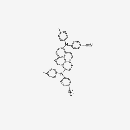 [C-]#[N+]c1ccc(N(c2ccc(C)cc2)c2ccc3ccc4c(N(c5ccc(C)cc5)c5ccc(C#N)cc5)ccc5ccc2c3c54)cc1